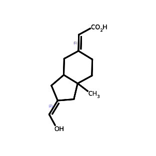 CC12CC/C(=C\C(=O)O)CC1C/C(=C/O)C2